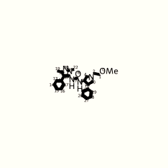 COCCN1C[C@H](NC(=O)Nc2c(-c3ccccc3)c(C)nn2C)[C@@H](c2ccccc2)C1